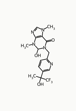 CN1c2ncn(C)c2C(=O)N(Cc2ccc(C(C)(O)C(F)(F)F)cn2)C1O